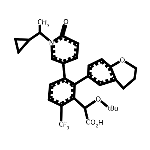 CC(C1CC1)n1cc(-c2ccc(C(F)(F)F)c(C(OC(C)(C)C)C(=O)O)c2-c2ccc3c(c2)CCCO3)ccc1=O